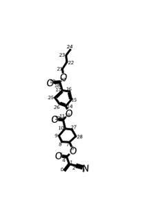 C=C(C#N)C(=O)OC1CCC(C(=O)Oc2ccc(C(=O)OCCCC)cc2)CC1